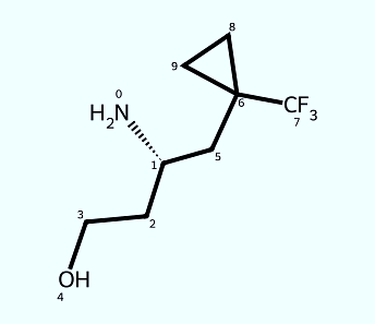 N[C@@H](CCO)CC1(C(F)(F)F)CC1